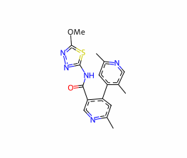 COc1nnc(NC(=O)c2cnc(C)cc2-c2cc(C)ncc2C)s1